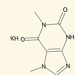 Cn1c(=O)[nH]c2ncn(C)c2c1=O.[KH]